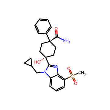 CS(=O)(=O)c1cccc2c1nc([C@]1(O)CC[C@@](C(N)=O)(c3ccccc3)CC1)n2CC1CC1